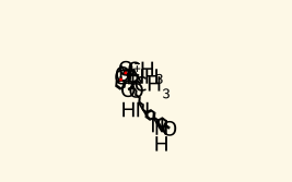 CC1=C(C(=O)OCCCCNc2ccc(C3=NNC(=O)CC3)cc2)C(c2ccccc2Cl)C([N+](=O)[O-])=C(C)N1